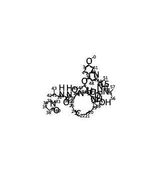 COc1ccc2c(O[C@@H]3C[C@H]4C(=O)N[C@]5(C(=O)O)CC5/C=C\CCCCC[C@H](NC(=O)N[C@H](CN5CCCCC5=O)C(C)C)C(=O)N4C3)cc(-c3csc(NC(C)C)n3)nc2c1